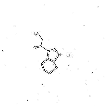 Cn1cc(C(=O)CN)c2ccccc21